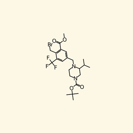 COC(=O)c1cc(CN2CCN(C(=O)OC(C)(C)C)CC2C(C)C)cc(C(F)(F)F)c1CBr